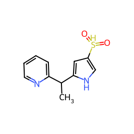 CC(c1ccccn1)c1cc([SH](=O)=O)c[nH]1